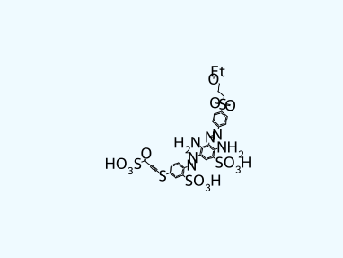 CCOCCCS(=O)(=O)c1ccc(N=Nc2c(N)c(N=Nc3ccc(SC#CC(=O)S(=O)(=O)O)cc3S(=O)(=O)O)cc(S(=O)(=O)O)c2N)cc1